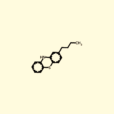 CCCCc1ccc2c(c1)Nc1ccccc1S2